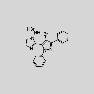 Br.NN1CCN=C1c1c(Br)c(-c2ccccc2)nn1-c1ccccc1